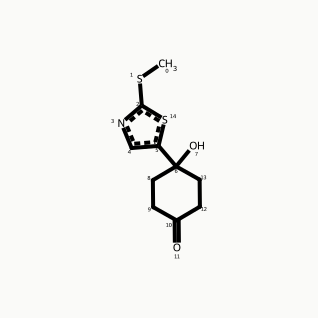 CSc1ncc(C2(O)CCC(=O)CC2)s1